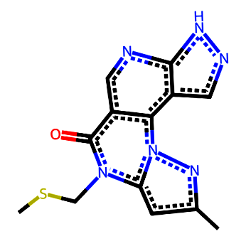 CSCn1c(=O)c2cnc3[nH]ncc3c2n2nc(C)cc12